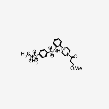 COCCC(=O)N1CCN(c2ccccc2NS(=O)(=O)c2ccc(S(=O)(=O)N(C)C)cc2)CC1